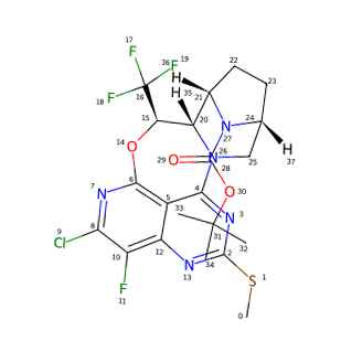 CSc1nc2c3c(nc(Cl)c(F)c3n1)O[C@@H](C(F)(F)F)[C@@H]1[C@@H]3CC[C@H](CN21)N3C(=O)OC(C)(C)C